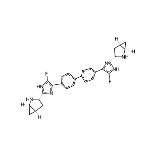 Fc1[nH]c([C@@H]2C[C@H]3C[C@H]3N2)nc1-c1ccc(-c2ccc(-c3nc([C@@H]4C[C@H]5C[C@H]5N4)[nH]c3F)cc2)cc1